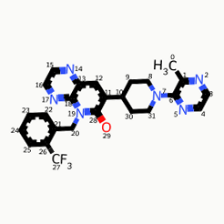 Cc1nccnc1N1CCC(c2cc3nccnc3n(Cc3ccccc3C(F)(F)F)c2=O)CC1